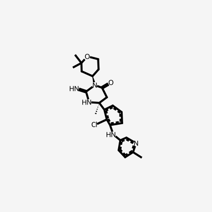 Cc1ccc(Nc2cccc([C@]3(C)CC(=O)N([C@@H]4CCOC(C)(C)C4)C(=N)N3)c2Cl)cn1